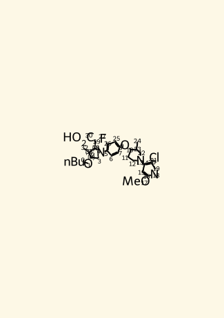 CCCCO[C@H]1CN(c2ccc(OC3CCN(c4cc(OC)ncc4Cl)CC3C)cc2F)[C@H](CC(=O)O)[C@@H]1C